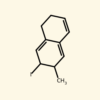 CC1C=C2C=CCCC2=CC1I